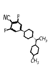 CC1CCC(C(C)[C@H]2CC[C@H](c3cc(F)c(C#N)c(F)c3)CC2)CC1